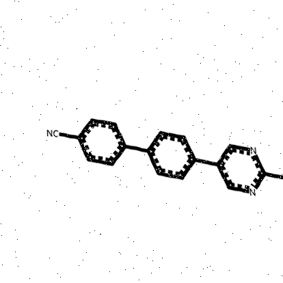 CCOc1ncc(-c2ccc(-c3ccc(C#N)cc3)cc2)cn1